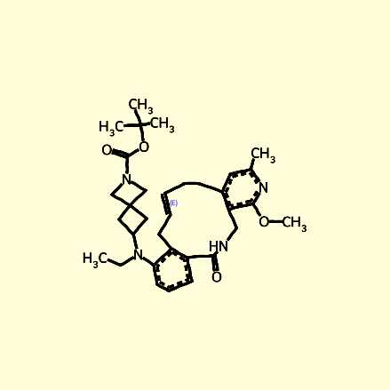 CCN(c1cccc2c1C/C=C/CCc1cc(C)nc(OC)c1CNC2=O)C1CC2(C1)CN(C(=O)OC(C)(C)C)C2